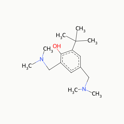 CN(C)Cc1cc(CN(C)C)c(O)c(C(C)(C)C)c1